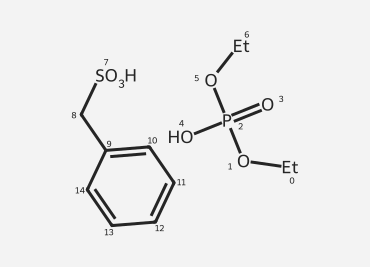 CCOP(=O)(O)OCC.O=S(=O)(O)Cc1ccccc1